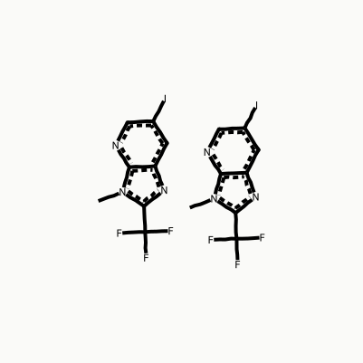 Cn1c(C(F)(F)F)nc2cc(I)cnc21.Cn1c(C(F)(F)F)nc2cc(I)cnc21